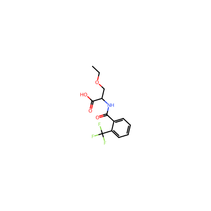 CCOCC(NC(=O)c1ccccc1C(F)(F)F)C(=O)O